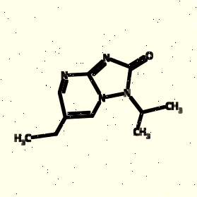 CCc1cnc2nc(=O)n(C(C)C)n2c1